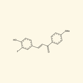 CSc1ccc(C(=O)C=Cc2ccc(O)c(F)c2)cc1